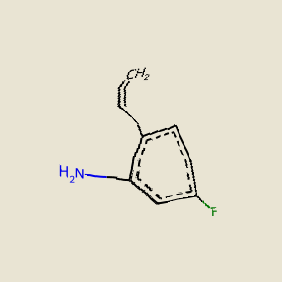 C=Cc1ccc(F)cc1N